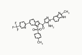 Cc1ccc(S(=O)(=O)n2c(C(=O)c3cnn(-c4ccc5[nH]c(C)nc5c4)c3N)cc3ccc(-c4ccc(C(F)(F)F)cn4)cc32)cc1